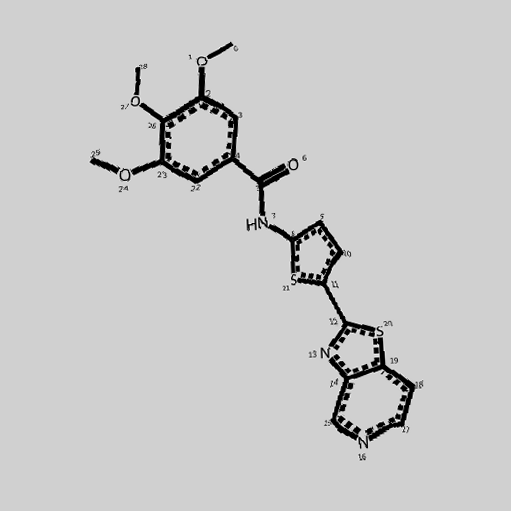 COc1cc(C(=O)Nc2ccc(-c3nc4cnccc4s3)s2)cc(OC)c1OC